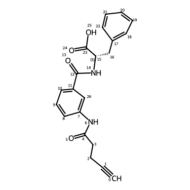 C#CCCC(=O)Nc1cccc(C(=O)N[C@@H](Cc2ccccc2)C(=O)O)c1